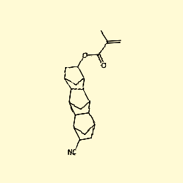 C=C(C)C(=O)OC1CC2CC1C1C3CC(C21)C1C2CC(CC2C#N)C31